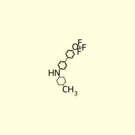 CC1CCC(Nc2ccc(-c3ccc(OC(F)(F)F)cc3)cc2)CC1